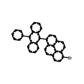 Brc1ccc2ccc3c(-c4c5ccccc5c(-c5ccccc5)c5ccccc45)ccc4ccc1c2c43